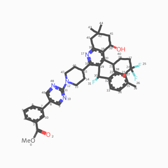 COC(=O)c1cccc(-c2cnc(N3CCC(c4nc5c(c(C6CCC(F)(F)CC6)c4C(F)c4ccc(C)cc4)C(O)CC(C)(C)C5)CC3)nc2)c1